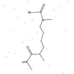 C=C(C)C(=O)C(C)CCCCN(C)C(=O)C(C)C